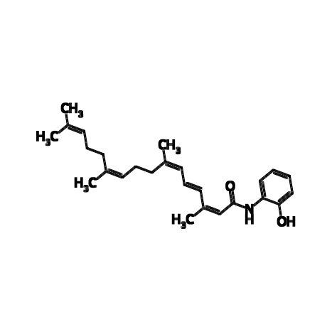 CC(C)=CCCC(C)=CCCC(C)=CC=CC(C)=CC(=O)Nc1ccccc1O